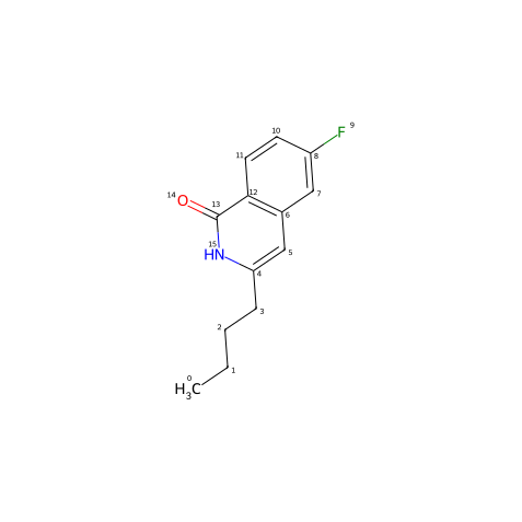 CCCCc1cc2cc(F)ccc2c(=O)[nH]1